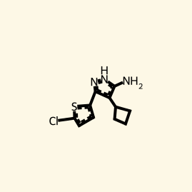 Nc1[nH]nc(-c2ccc(Cl)s2)c1C1CCC1